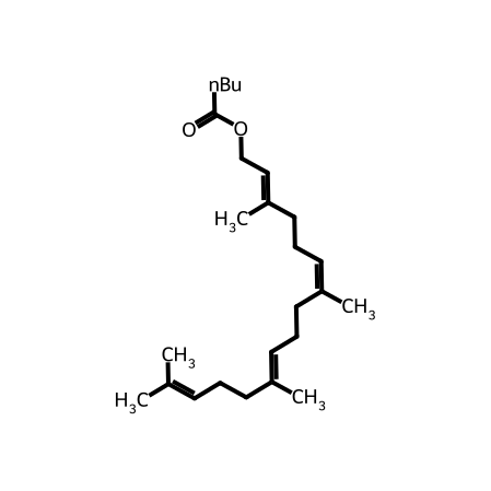 CCCCC(=O)OC/C=C(\C)CCC=C(C)CC/C=C(\C)CCC=C(C)C